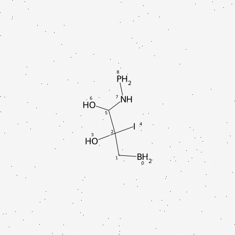 BCC(O)(I)C(O)NP